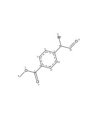 COC(=O)c1ccc(C(Br)C=O)cc1